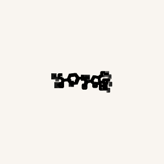 CC(O)c1ccc(NC(=O)C2CC(C)C(C)(C(F)(F)F)O2)cn1